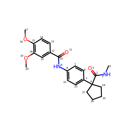 CNC(=O)C1(c2ccc(NC(=O)c3ccc(OC)c(OC)c3)cc2)CCCC1